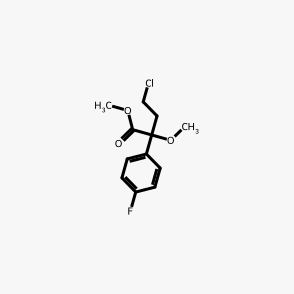 COC(=O)C(CCCl)(OC)c1ccc(F)cc1